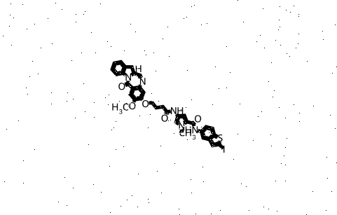 COc1cc2c(cc1OCCCC(=O)Nc1cc(C(=O)Nc3ccc4sc(I)cc4c3)n(C)c1)N=C[C@@H]1Cc3ccccc3N1C2=O